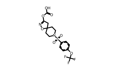 O=C(O)OC1=NOC2(CCN(S(=O)(=O)c3ccc(OC(F)(F)F)cc3)CC2)C1